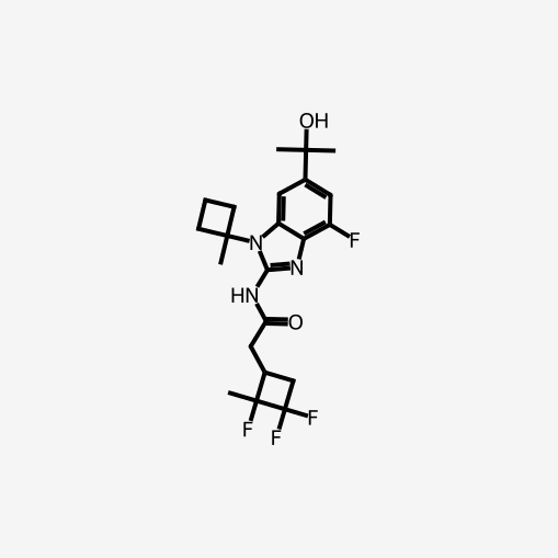 CC(C)(O)c1cc(F)c2nc(NC(=O)CC3CC(F)(F)C3(C)F)n(C3(C)CCC3)c2c1